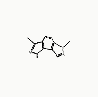 Cc1n[nH]c2c1ccc1c2cnn1C